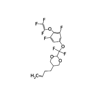 C=CCCC1COC(C(F)(F)Oc2cc(F)c(OC(F)=C(F)F)c(F)c2)OC1